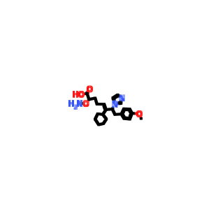 COc1ccc(CC(/C(=C/CCC(ON)C(=O)O)C2CCCCC2)n2ccnc2)cc1